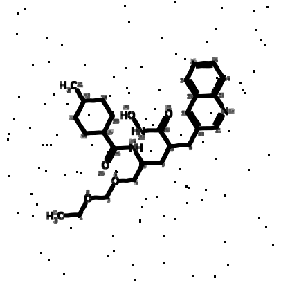 CCOCOCC(CC(Cc1cnc2ccccc2c1)C(=O)NO)NC(=O)C1CCC(C)CC1